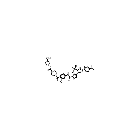 CNc1ccc(-n2cc(-c3cnc(C(=O)Nc4ccc(C(=O)N5CCN(C(=O)CN6CCC(O)C6)CC5)c(Cl)c4)n3C)c(C(F)(F)F)n2)nc1